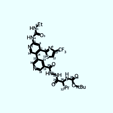 CCNC(=O)Nc1cc(-c2nc(C(F)(F)F)cs2)c(-c2cncc(C(=O)NNC(=O)C(NC(=O)OC(C)(C)C)C(C)C)c2)cn1